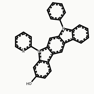 Oc1ccc2c3cc4c5ccccc5n(-c5ccccc5)c4cc3n(-c3ccccn3)c2c1